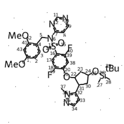 COc1ccc(CN(c2ccncn2)S(=O)(=O)c2cc(F)c(OC3CC(O[Si](C)(C)C(C)(C)C)CC3c3ccnn3C)cc2F)c(OC)c1